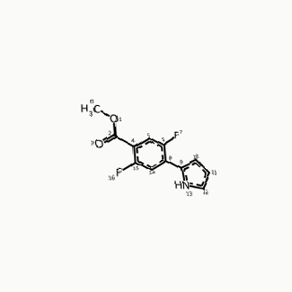 COC(=O)c1cc(F)c(-c2ccc[nH]2)cc1F